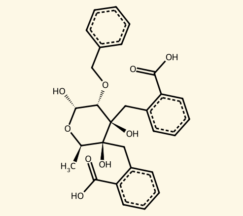 C[C@H]1O[C@H](O)[C@H](OCc2ccccc2)[C@](O)(Cc2ccccc2C(=O)O)[C@]1(O)Cc1ccccc1C(=O)O